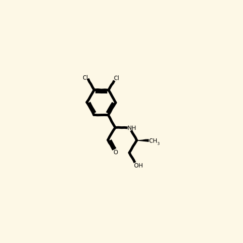 C[C@@H](CO)NC(C=O)c1ccc(Cl)c(Cl)c1